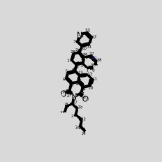 C=Cc1c(-c2ccc3c4c(cccc24)C(=O)N(C(CC)CCCCC)C3=O)ccc(-c2cccnc2)c1/C=C\C